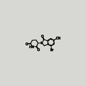 N#Cc1cc(Br)c2c(c1)C(=O)N(C1CCC(=O)NC1=O)C2